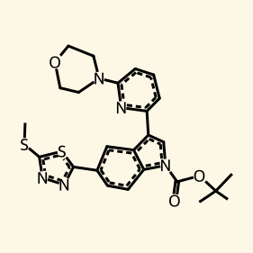 CSc1nnc(-c2ccc3c(c2)c(-c2cccc(N4CCOCC4)n2)cn3C(=O)OC(C)(C)C)s1